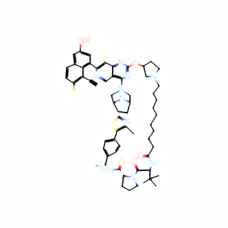 C#Cc1c(F)ccc2cc(O)cc(-c3ncc4c(N5CC6CCC(C5)N6)nc(OC5CCN(CCCCCCCCCC(=O)NC(C(=O)N6CCC[C@H]6C(=O)N[C@@H](C)c6ccc(-c7scnc7C)cc6)C(C)(C)C)C5)nc4c3F)c12